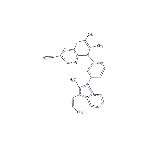 C/C=C\c1c(C)n(-c2cccc(N3C(C)=C(C)Cc4cc(C#N)ccc43)c2)c2ccccc12